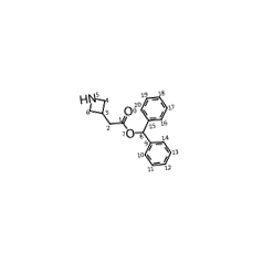 O=C(CC1CNC1)OC(c1ccccc1)c1ccccc1